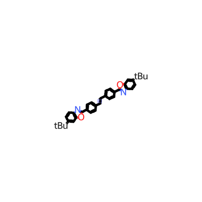 CC(C)(C)c1ccc2nc(-c3ccc(/C=C/c4ccc(-c5nc6ccc(C(C)(C)C)cc6o5)cc4)cc3)oc2c1